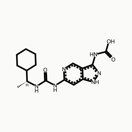 C[C@@H](NC(=O)Nc1cc2[nH]nc(NC(=O)O)c2cn1)C1CCCCC1